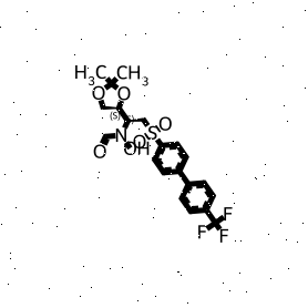 CC1(C)OC[C@H]([C@@H](CS(=O)(=O)c2ccc(-c3ccc(C(F)(F)F)cc3)cc2)N(O)C=O)O1